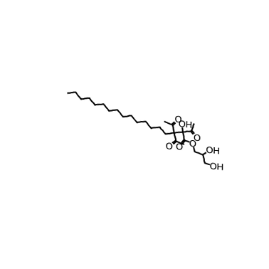 CCCCCCCCCCCCCCCC(C(C)=O)(C(C)=O)C(O)(C(C)=O)C(=O)OCC(O)CO